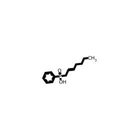 CCCCC=CCP(=O)(O)c1ccccc1